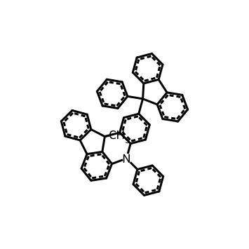 CC12c3ccccc3-c3cccc(c31)N(c1ccccc1)c1ccc(C3(c4ccccc4)c4ccccc4-c4ccccc43)cc12